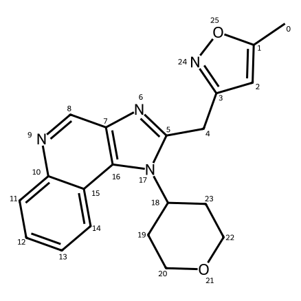 Cc1cc(Cc2nc3cnc4ccccc4c3n2C2CCOCC2)no1